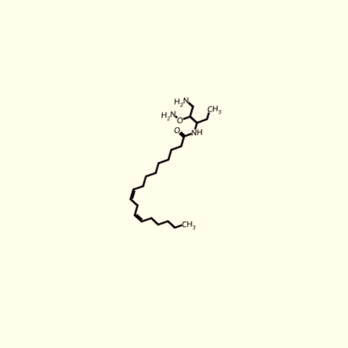 CCCCC/C=C\C/C=C\CCCCCCCC(=O)NC(CC)C(CN)ON